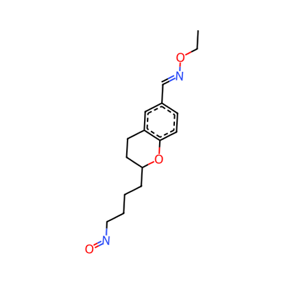 CCO/N=C/c1ccc2c(c1)CCC(CCCCN=O)O2